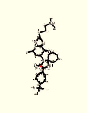 CC(C)CC(C(=O)c1nnc(SCCN(C)C)o1)N(C=O)C1(NC(=O)c2ccc(C(F)(F)F)cc2)CCCCC1